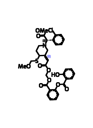 COCSC1CCN([C@H](C(=O)OC)c2ccccc2Cl)C/C1=C/C(=O)OCOC(=O)c1ccccc1OC(=O)c1ccccc1O